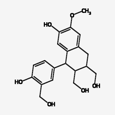 COc1cc2c(cc1O)C(c1ccc(O)c(CO)c1)C(CO)C(CO)C2